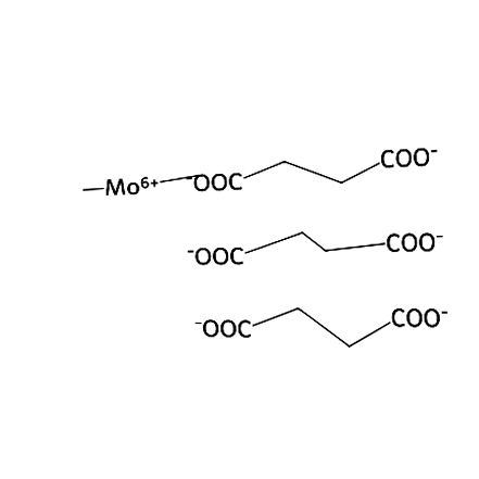 O=C([O-])CCC(=O)[O-].O=C([O-])CCC(=O)[O-].O=C([O-])CCC(=O)[O-].[CH3][Mo+6][CH3]